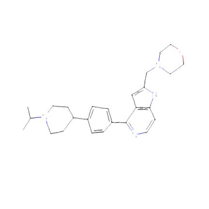 CC(C)N1CCC(c2ccc(-c3nccc4[nH]c(CN5CCOCC5)cc34)cc2)CC1